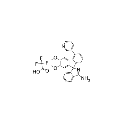 NC1=NC(c2cccc(-c3cccnc3)c2)(c2ccc3c(c2)OCCO3)c2ccccc21.O=C(O)C(F)(F)F